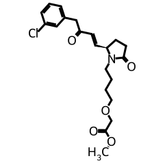 COC(=O)COCCCCN1C(=O)CC[C@@H]1C=CC(=O)Cc1cccc(Cl)c1